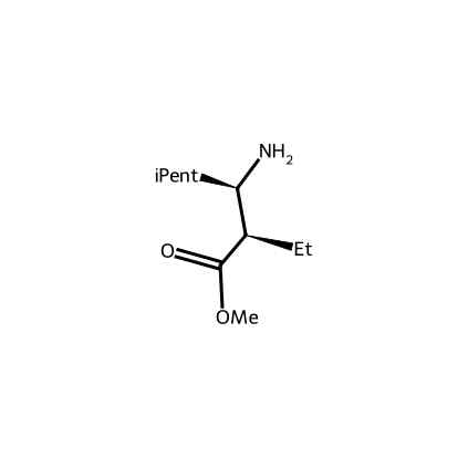 CCCC(C)[C@@H](N)[C@@H](CC)C(=O)OC